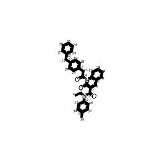 CCN(C(=O)c1cc2ccccc2n(C(=O)Cc2ccc(Cc3ccccc3)cc2)c1=O)c1ccc(C)cc1